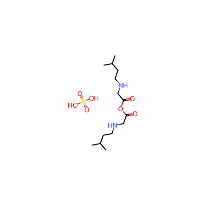 CC(C)CCNCC(=O)OC(=O)CNCCC(C)C.O=S(=O)(O)O